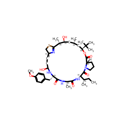 CC[C@H](C)[C@@H]1NC(=O)[C@H](C)NC(=O)[C@H](Cc2ccc(OC)cc2)NC(O)CC[C@H]2CSC(=N2)[C@H](C)[C@@H](O)C[C@H](C)C[C@@H](C(C)(C)C)OC(=O)[C@@H]2CCCN2C1=O